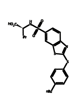 CCCCc1ccc(Sc2nc3ccc(S(=O)(=O)N[C@@H](C(=O)O)C(C)C)cc3s2)cc1